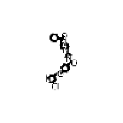 O=C(c1ccccc1)N1CCN(C2CN(C(=O)c3ccc(OCc4cncc(Cl)c4)cc3)C2)CC1